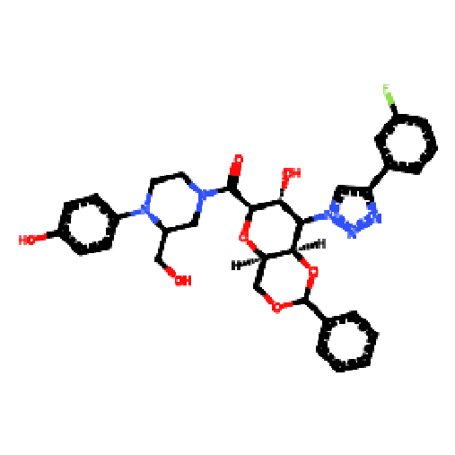 O=C([C@@H]1O[C@@H]2COC(c3ccccc3)O[C@@H]2[C@H](n2cc(-c3cccc(F)c3)nn2)[C@H]1O)N1CCN(c2ccc(O)cc2)C(CO)C1